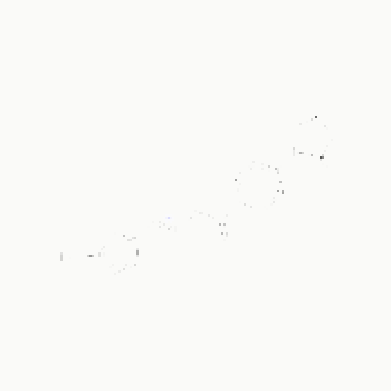 Cc1ccc(/C=N/NC(=O)c2ccc(N3CCCC3=O)cc2)o1